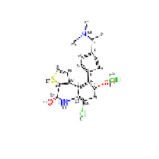 CC(c1ccc(-c2c(O)cc(Cl)c3[nH]c(=O)c4sccc4c23)cc1)N(C)C.Cl